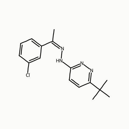 CC(=NNc1ccc(C(C)(C)C)nn1)c1cccc(Cl)c1